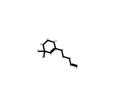 C=CCCCC1=CC(C)(C)CCC1